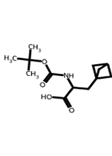 CC(C)(C)OC(=O)NC(CC12CC(C1)C2)C(=O)O